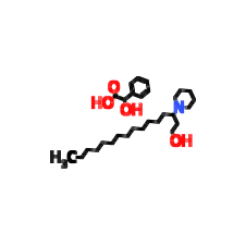 CCCCCCCCCCCCCC(CCO)N1CCCCC1.O=C(O)C(O)c1ccccc1